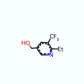 CCc1ncc(CO)cc1C(F)(F)F